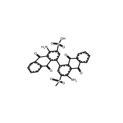 CS(=O)(=O)c1cc(-c2cc(S(=O)(=O)O)c(N)c3c2C(=O)c2ccccc2C3=O)c2c(c1N)C(=O)c1ccccc1C2=O